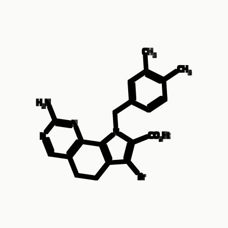 CCOC(=O)c1c(Br)c2c(n1Cc1ccc(C)c(C)c1)-c1nc(N)ncc1CC2